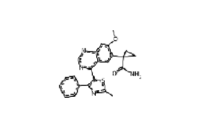 COc1cc2ncnc(-c3sc(C)nc3-c3ccccc3)c2cc1C1(C(N)=O)CC1